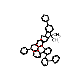 CC1(C)c2ccc(-c3ccccc3)cc2-c2ccc(N(c3ccc(-c4ccccc4)cc3)c3cccc(-c4ccccc4-c4ccccc4)c3-c3ccccc3-c3ccccc3)cc21